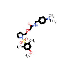 COc1cc(C)c(S(=O)(=O)N2CCCC2COCC(=O)NCc2ccc(N(C)C)cc2)c(C)c1